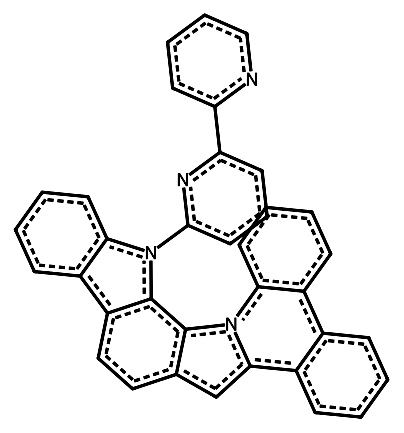 c1ccc(-c2cccc(-n3c4ccccc4c4ccc5cc6c7ccccc7c7ccccc7n6c5c43)n2)nc1